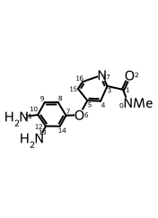 CNC(=O)c1cc(Oc2ccc(N)c(N)c2)ccn1